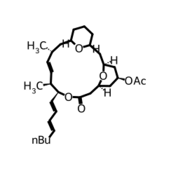 CCCCC=C/C=C/[C@@H]1OC(=O)C[C@@H]2C[C@H](OC(C)=O)C[C@H](C[C@@H]3CCC[C@H](C[C@@H](C)/C=C/[C@@H]1C)O3)O2